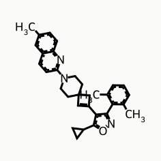 Cc1ccc2nc(N3CCC4(C=C(c5c(-c6c(C)cccc6C)noc5C5CC5)C4)CC3)ccc2c1